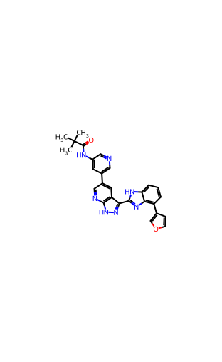 CC(C)(C)C(=O)Nc1cncc(-c2cnc3[nH]nc(-c4nc5c(-c6ccoc6)cccc5[nH]4)c3c2)c1